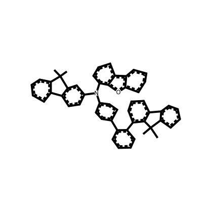 CC1(C)c2ccccc2-c2ccc(N(c3ccc(-c4ccccc4-c4cccc5c4C(C)(C)c4ccccc4-5)cc3)c3cccc4c3oc3ccccc34)cc21